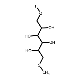 CSCC(O)C(O)C(O)C(O)COF